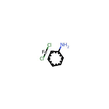 Nc1ccccc1.[Cl][Fe][Cl]